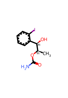 C[C@@H](OC(N)=O)[C@H](O)c1ccccc1I